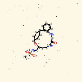 CS(=O)(=O)NCC1CCNC(=O)CNc2ccccc2C2CCC(CC2)O1